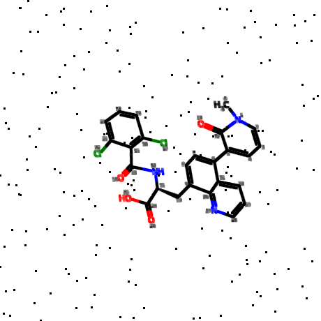 Cn1cccc(-c2ccc(C[C@H](NC(=O)c3c(Cl)cccc3Cl)C(=O)O)c3ncccc23)c1=O